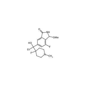 CCC(O)(c1cc(F)c2c(c1)C(=O)NC2OC)C1(F)CCN(C)CC1